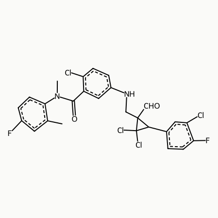 Cc1cc(F)ccc1N(C)C(=O)c1cc(NCC2(C=O)C(c3ccc(F)c(Cl)c3)C2(Cl)Cl)ccc1Cl